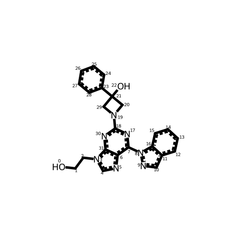 OCCn1cnc2c(-n3ncc4ccccc43)nc(N3CC(O)(c4ccccc4)C3)nc21